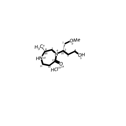 COC[C@H](CCO)N1C[C@@H](C)NCCC1=O.Cl